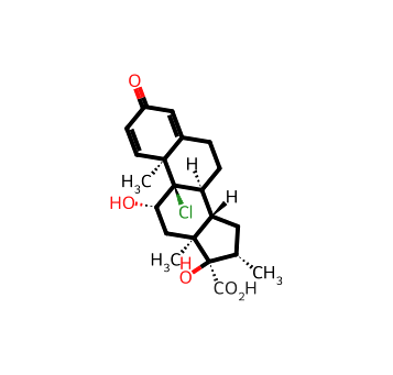 C[C@H]1C[C@H]2[C@@H]3CCC4=CC(=O)C=C[C@]4(C)[C@@]3(Cl)[C@@H](O)C[C@]2(C)[C@@]1(O)C(=O)O